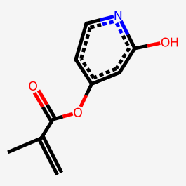 C=C(C)C(=O)Oc1ccnc(O)c1